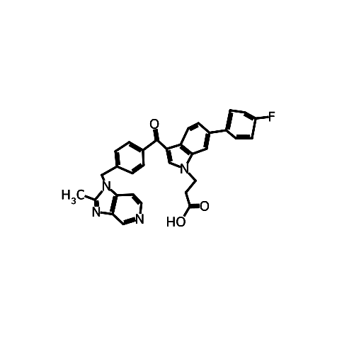 Cc1nc2cnccc2n1Cc1ccc(C(=O)c2cn(CCC(=O)O)c3cc(-c4ccc(F)cc4)ccc23)cc1